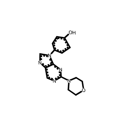 Oc1ccc(-n2cnc3cnc(N4CCOCC4)nc32)cc1